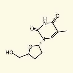 Cc1cn([C@@H]2CCC(CO)O2)c(=O)[nH]c1=O